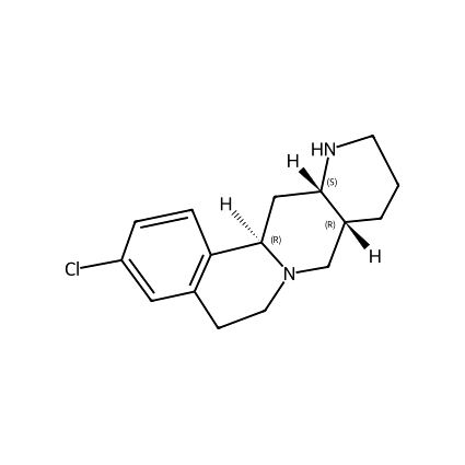 Clc1ccc2c(c1)CCN1C[C@H]3CCCN[C@H]3C[C@H]21